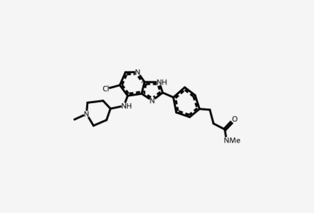 CNC(=O)CCc1ccc(-c2nc3c(NC4CCN(C)CC4)c(Cl)cnc3[nH]2)cc1